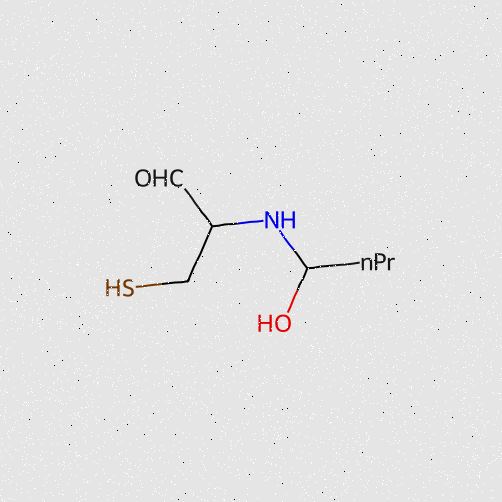 CCCC(O)NC(C=O)CS